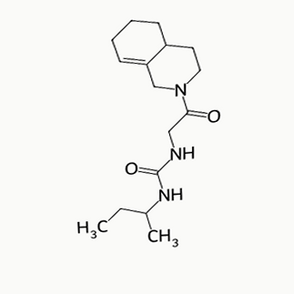 CCC(C)NC(=O)NCC(=O)N1CCC2CCCC=C2C1